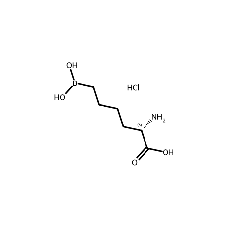 Cl.N[C@@H](CCCCB(O)O)C(=O)O